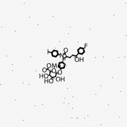 COC(=O)[C@H]1O[C@@H](Oc2ccc([C@@H]3C(CC[C@H](O)c4ccc(F)cc4)C(=O)N3c3ccc(I)cc3)cc2)C(O)[C@@H](O)C1O